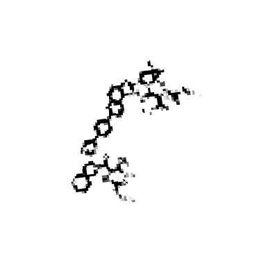 COC(=O)N[C@H](C(=O)N1C[C@]2(CCCOC2)C[C@H]1c1ncc(-c2ccc(-c3ccc4c(ccc5nc([C@@H]6C[C@@H]7C[C@@H]7N6C(=O)[C@@H](NC(=O)OC)C(C)C)[nH]c54)c3)cc2)[nH]1)C(C)C